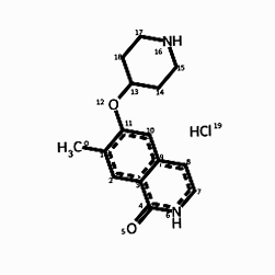 Cc1cc2c(=O)[nH]ccc2cc1OC1CCNCC1.Cl